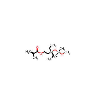 C=C(C)C(=O)OCC[Si](CC)(CC)O[Si](C)(C)OC